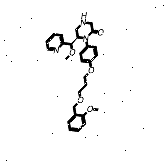 COc1ccccc1COCCCOc1ccc(N2C(=O)CNC[C@@H]2C(OC)c2ccccn2)cc1